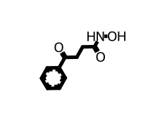 O=C(CCC(=O)c1ccccc1)NO